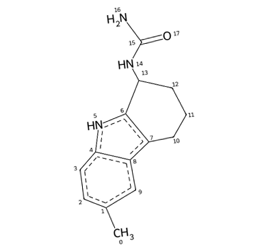 Cc1ccc2[nH]c3c(c2c1)CCCC3NC(N)=O